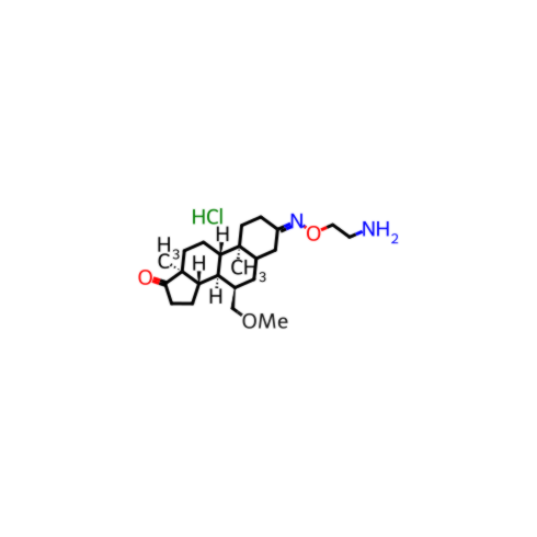 COC[C@@H]1CC2C/C(=N\OCCN)CC[C@]2(C)[C@H]2CC[C@]3(C)C(=O)CC[C@H]3[C@H]12.Cl